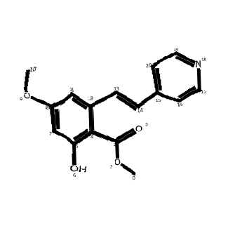 COC(=O)c1c(O)cc(OC)cc1/C=C/c1ccncc1